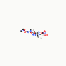 Cc1cc(NC(=O)CCCCN(C)C(=O)CCN2CCC(OC(=O)Nc3ccccc3-c3ccccc3)CC2)c(C)cc1CNC[C@H](O)c1ccc(O)c2[nH]c(=O)ccc12